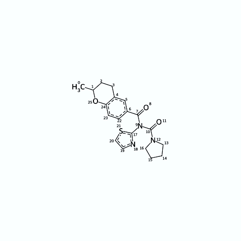 CC1CCc2cc(C(=O)N(C(=O)N3CCCC3)c3nccs3)ccc2O1